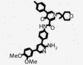 COc1ccc(-c2cnc(N)c(-c3ccc(NC(=O)c4cn(CC5(C)CCOCC5)cc(-c5ccc(C)cc5)c4=O)cc3)c2)cc1OC